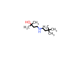 CC(C)(C)CCNCCC(C)(C)O